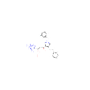 O=C(C=C(O)c1nn[nH]n1)c1cn(Cc2cccc(F)c2)cc1CCc1ccccc1